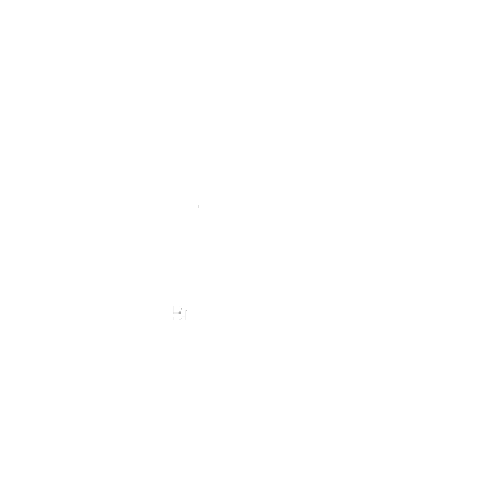 [CH2]C(C=C)C(F)Br